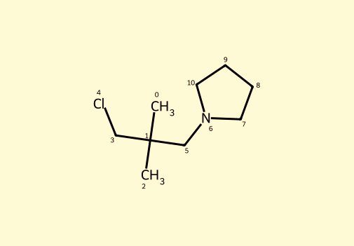 CC(C)(CCl)CN1CCCC1